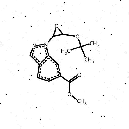 COC(=O)c1ccc2cnn(C3OC3OC(C)(C)C)c2c1